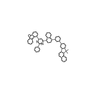 CC1(C)c2ccc(-c3cccc(-c4ccc(-c5cc(-c6cccc7oc8ccccc8c67)nc(-c6ccccc6)n5)c5ccccc45)c3)cc2-c2ccc3ccccc3c21